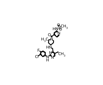 CCc1cnc(Nc2ccc(F)c(Cl)c2)nc1CN[C@H]1CCN(C(=O)c2ccnc(NS(C)(=O)=O)c2)[C@H](C)C1